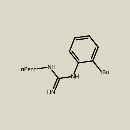 CCCCCNC(=N)Nc1ccccc1C(C)CC